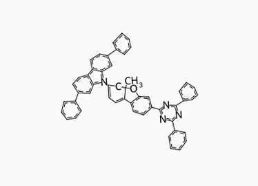 CC12CC(n3c4cc(-c5ccccc5)ccc4c4ccc(-c5ccccc5)cc43)=CC=C1c1ccc(-c3nc(-c4ccccc4)nc(-c4ccccc4)n3)cc1O2